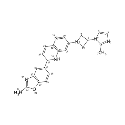 Cc1nccn1C1CN(c2cnc3c(c2)NC(c2ccc4oc(N)nc4c2)C=C3)C1